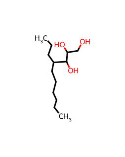 CCCCCCC(CCC)C(O)C(O)CO